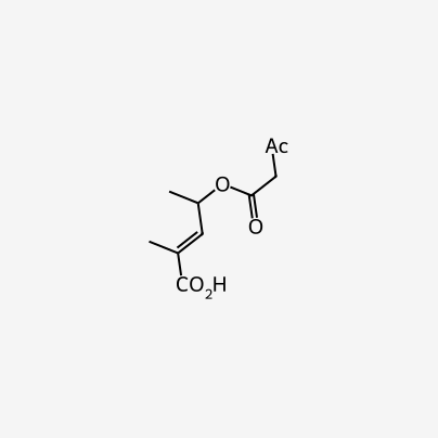 CC(=O)CC(=O)OC(C)C=C(C)C(=O)O